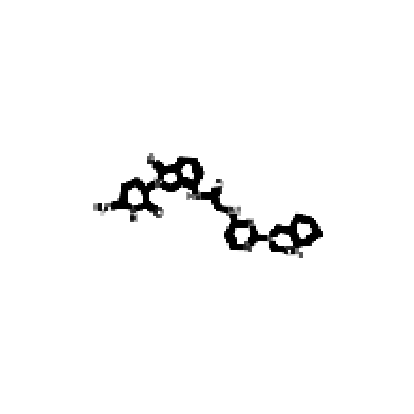 C=C1CCC(N2Cc3c(NC(=O)CNc4ccnc(N(CC)Cc5ccccc5)n4)cccc3C2=O)C(=O)N1